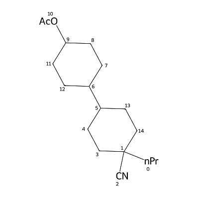 CCCC1(C#N)CCC(C2CCC(OC(C)=O)CC2)CC1